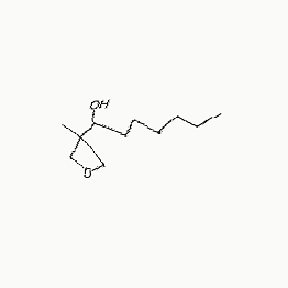 CCCCCCC(O)C1(C)COC1